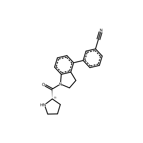 N#Cc1cccc(-c2cccc3c2CCN3C(=O)[C@@H]2CCCN2)c1